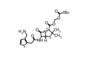 CC(C)(C)C(=O)OCOC(=O)[C@@H]1N2C(=O)C(NC(=O)Cc3sccc3CN)[C@H]2SC1(C)C